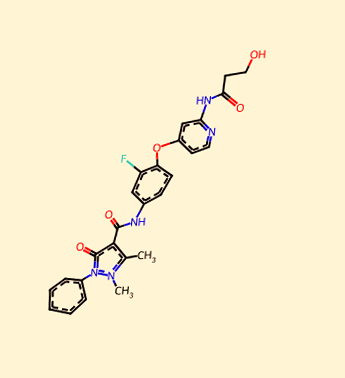 Cc1c(C(=O)Nc2ccc(Oc3ccnc(NC(=O)CCO)c3)c(F)c2)c(=O)n(-c2ccccc2)n1C